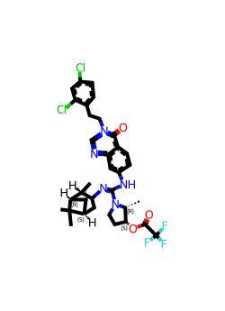 C[C@@H]1C(N=C(Nc2ccc3c(=O)n(CCc4ccc(Cl)cc4Cl)cnc3c2)N2CC[C@H](OC(=O)C(F)(F)F)[C@H]2C)C[C@@H]2C[C@H]1C2(C)C